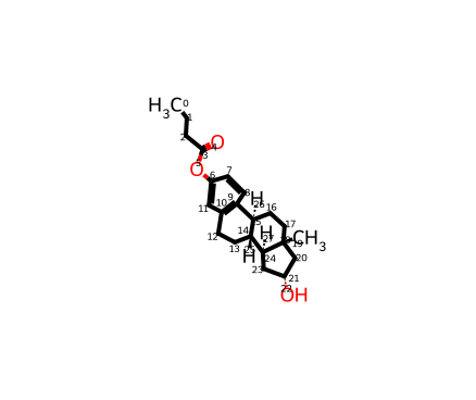 CCCC(=O)Oc1ccc2c(c1)CC[C@@H]1[C@@H]2CC[C@]2(C)C[C@H](O)C[C@@H]12